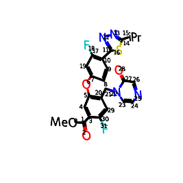 COC(=O)c1cc(Oc2ccc(-c3nnc(C(C)C)s3)c(F)c2)c(Cn2ccncc2=O)cc1F